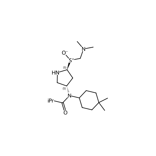 CC(C)C(=O)N(C1CCC(C)(C)CC1)[C@@H]1CN[C@@H]([S+]([O-])CN(C)C)C1